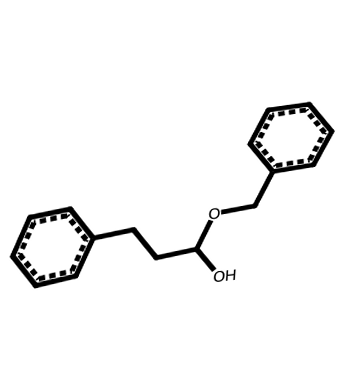 OC(CCc1ccccc1)OCc1ccccc1